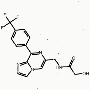 O=C(CO)NCc1cn2ccnc2c(-c2ccc(C(F)(F)F)cc2)n1